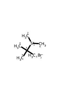 C[S+](C)C(C)(C)C.[Br-]